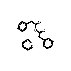 O=C(Cc1ccccc1)OC(=O)Cc1ccccc1.c1ccncc1